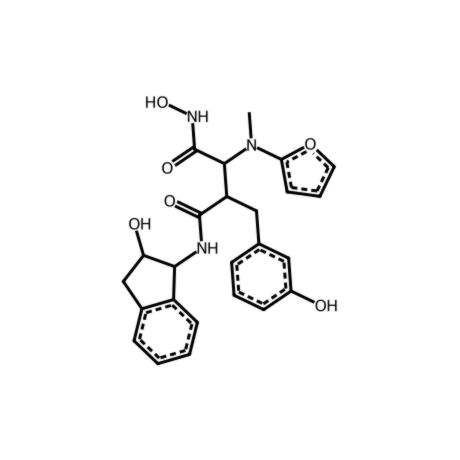 CN(c1ccco1)C(C(=O)NO)C(Cc1cccc(O)c1)C(=O)NC1c2ccccc2CC1O